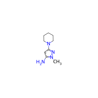 Cn1nc(N2CCCCC2)cc1N